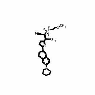 COCCNS(=O)(=O)/C(C#N)=C(\C)c1ccc(-c2ccc3cc(N4CCCCC4)ccc3c2)o1